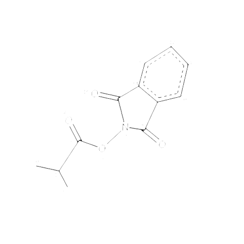 CC(C)C(=O)ON1C(=O)c2ccccc2C1=O